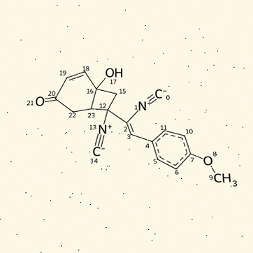 [C-]#[N+]/C(=C\c1ccc(OC)cc1)C1([N+]#[C-])CC2(O)C=CC(=O)CC21